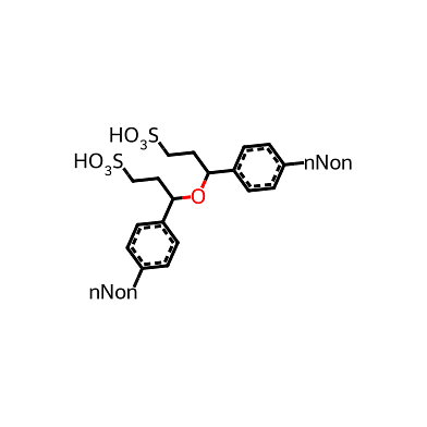 CCCCCCCCCc1ccc(C(CCS(=O)(=O)O)OC(CCS(=O)(=O)O)c2ccc(CCCCCCCCC)cc2)cc1